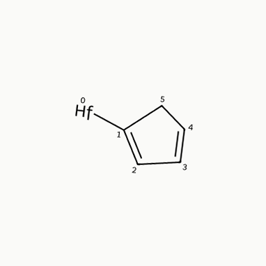 [Hf][C]1=CC=CC1